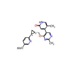 COc1ccc([C@H]2C[C@@H]2COc2nc(C)ncc2-c2cc(=O)[nH]cc2C)nc1